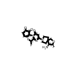 C[C@@H]1OCC2(CCN(c3cc(=O)n(-c4cccc(Cl)c4Cl)c(C(F)F)n3)CC2)[C@@H]1N